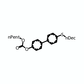 CCCCCCCCCCSc1ccc(-c2ccc(OC(=O)OCCCCC)cc2)cc1